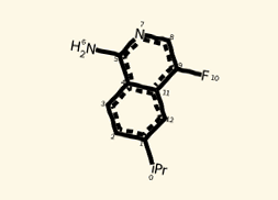 CC(C)c1ccc2c(N)ncc(F)c2c1